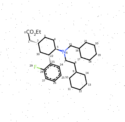 CCOC(=O)C[C@@H]1CC[C@@H](N(CCC2CCCCC2)CC2CCCCC2)[C@H](c2ccccc2F)C1